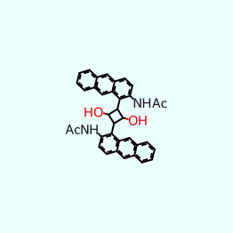 CC(=O)Nc1ccc2cc3ccccc3cc2c1C1C(O)C(c2c(NC(C)=O)ccc3cc4ccccc4cc23)C1O